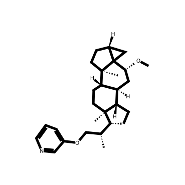 CO[C@@H]1C[C@H]2[C@@H]3CC[C@H]([C@H](C)COc4cccnc4)[C@@]3(C)CC[C@@H]2[C@@]2(C)CC[C@@H]3CC312